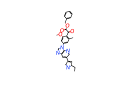 CCC1C=C(c2cnc3c(c2)ncn3-c2cc(C)c(C(=O)C(=O)OCc3ccccc3)c(OC)c2)C=N1